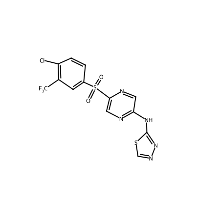 O=S(=O)(c1ccc(Cl)c(C(F)(F)F)c1)c1cnc(Nc2nncs2)cn1